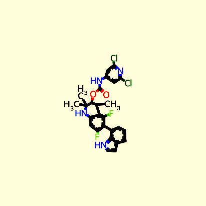 CC1c2c(cc(F)c(-c3cccc4cc[nH]c34)c2F)NC(C)(C)C1OC(=O)Nc1cc(Cl)nc(Cl)c1